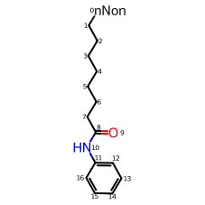 CCCCCCCCCCCCCCCCC(=O)Nc1ccccc1